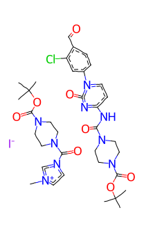 CC(C)(C)OC(=O)N1CCN(C(=O)Nc2ccn(-c3ccc(C=O)c(Cl)c3)c(=O)n2)CC1.C[n+]1ccn(C(=O)N2CCN(C(=O)OC(C)(C)C)CC2)c1.[I-]